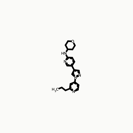 CCCc1cc(-n2cc(-c3ccc(NC4CCOCC4)nc3)cn2)ccn1